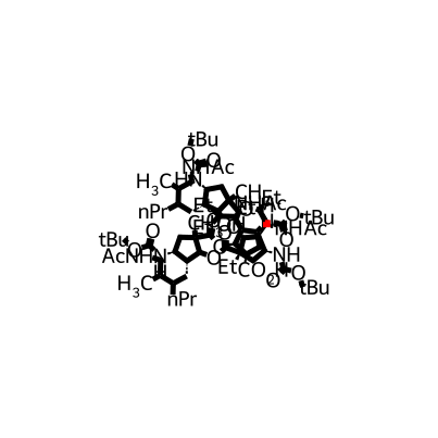 CCCC(C[C@H]1C(O)C(C)(C(=O)O[C@H]2[C@@H]([C@@H](NC(C)=O)C(CC)CC)[C@H](NC(=O)OC(C)(C)C)C[C@]2(CC)C(=O)OC2[C@H](CC(CCC)C(C)CNC(C)=O)[C@H](NC(=O)OC(C)(C)C)CC2(C)C(=O)O[C@H]2C([C@@H](NC(C)=O)C(CC)CC)C(NC(=O)OC(C)(C)C)C[C@@H]2C(=O)O)C[C@H]1NC(=O)OC(C)(C)C)C(C)CNC(C)=O